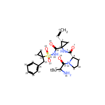 C=C[C@@H]1C[C@]1(NC(=O)[C@@H]1CCCN1C(=O)C(N)C(C)(C)C)C(=O)NS(=O)(=O)C1(Cc2ccccc2)CC1